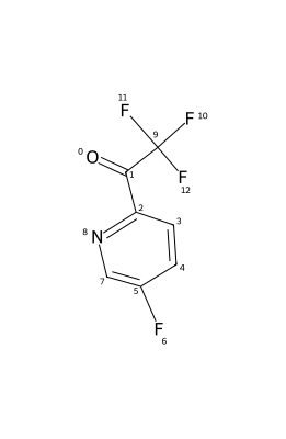 O=C(c1ccc(F)cn1)C(F)(F)F